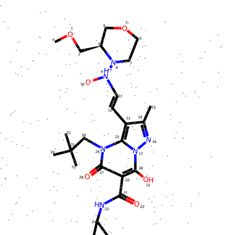 COC[C@H]1COCCN1[NH+]([O-])/C=C/c1c(C)nn2c(O)c(C(=O)NC3CC3)c(=O)n(CC(C)(C)C)c12